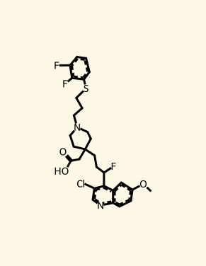 COc1ccc2ncc(Cl)c(C(F)CCC3(CC(=O)O)CCN(CCCSc4cccc(F)c4F)CC3)c2c1